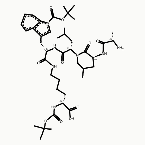 CC(C)C[C@@H](C(=O)N[C@@H](Cc1cn(C(=O)OC(C)(C)C)c2ccccc12)C(=O)NCCCC[C@@H](NC(=O)OC(C)(C)C)C(=O)O)N1CC(C)C[C@H](NC(=O)[C@H](C)N)C1=O